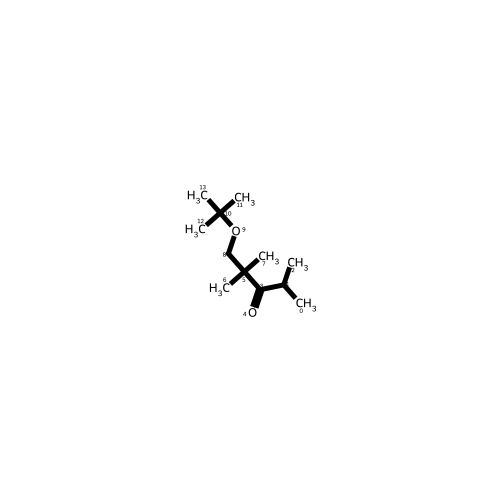 CC(C)C(=O)C(C)(C)COC(C)(C)C